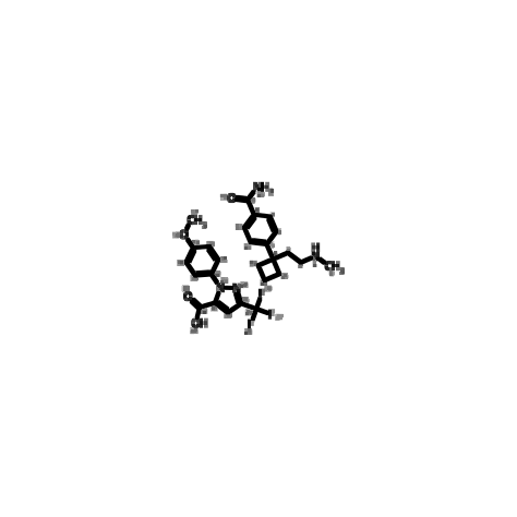 CNCCC1(c2ccc(C(N)=O)cc2)CCC1.COc1ccc(-n2nc(C(F)(F)F)cc2C(=O)O)cc1